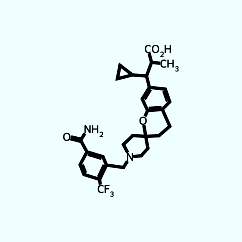 CC(C(=O)O)C(c1ccc2c(c1)OC1(CC2)CCN(Cc2cc(C(N)=O)ccc2C(F)(F)F)CC1)C1CC1